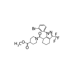 COC(=O)C1CCN(C(=O)C2CCCc3c(C(F)(F)F)nn(-c4cccc(Br)c4)c32)CC1